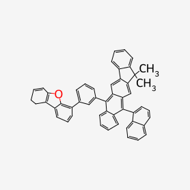 CC1(C)c2ccccc2-c2cc3c(-c4cccc(-c5cccc6c7c(oc56)C=CCC7)c4)c4ccccc4c(-c4cccc5ccccc45)c3cc21